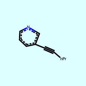 CCCC#Cc1cccnc1